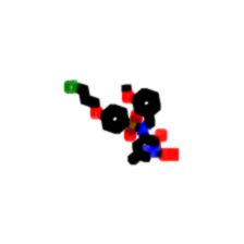 COc1cccc(CN([C@H](CC(C)C)C(=O)NO)S(=O)(=O)c2ccc(OCCCCl)cc2)c1